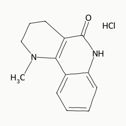 CN1CCCc2c1c1ccccc1[nH]c2=O.Cl